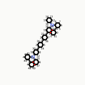 c1ccc(-c2ccccc2N(c2ccccc2)c2ccc(-c3ccc(-c4ccc(-c5ccc(N(c6ccccc6)c6ccccc6-c6ccccc6)cc5)cc4)cc3)cc2)cc1